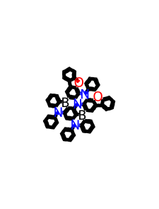 c1ccc(N2c3ccccc3B3c4cc5c(oc6ccccc65)c5c4N4c6c3c2cc2c6B(c3ccccc3N2c2ccccc2)c2cc3c(oc6ccccc63)c(c24)N5c2ccccc2)cc1